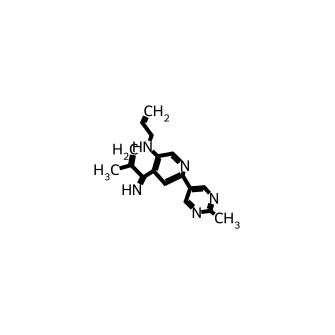 C=CCNc1cnc(-c2cnc(C)nc2)cc1C(=N)C(=C)C